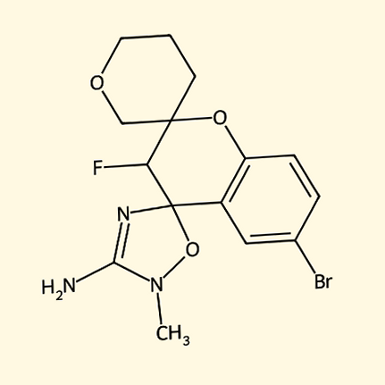 CN1OC2(N=C1N)c1cc(Br)ccc1OC1(CCCOC1)C2F